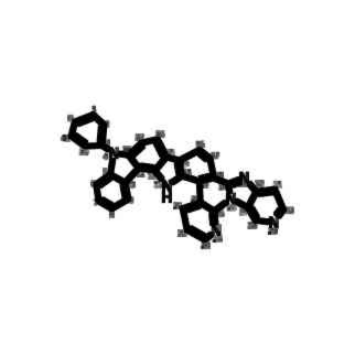 c1ccc(-n2c3ccccc3c3c4[nH]c5c(ccc6c5c5cccnc5n5c7cnccc7nc65)c4ccc32)cc1